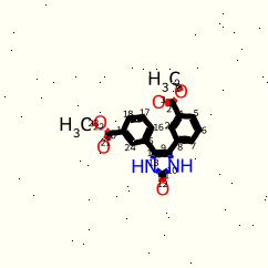 COC(=O)c1cccc(-c2[nH]c(=O)[nH]c2-c2cccc(C(=O)OC)c2)c1